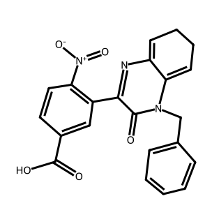 O=C(O)c1ccc([N+](=O)[O-])c(-c2nc3c(n(Cc4ccccc4)c2=O)=CCCC=3)c1